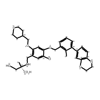 Cc1c(COc2cc(OCC3CCOCC3)c(CN[C@](C)(CO)C(=O)O)cc2Cl)cccc1-c1ccc2c(c1)OCCO2